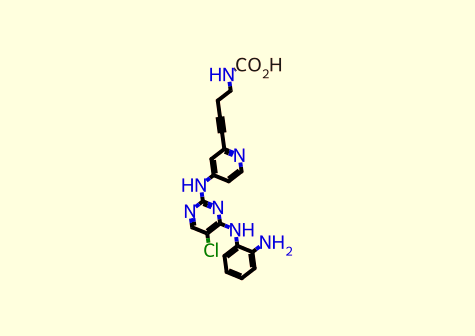 Nc1ccccc1Nc1nc(Nc2ccnc(C#CCCNC(=O)O)c2)ncc1Cl